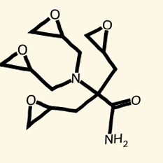 NC(=O)C(CC1CO1)(CC1CO1)N(CC1CO1)CC1CO1